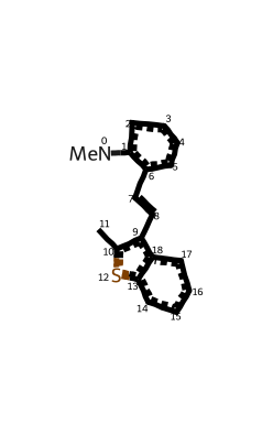 CNc1ccccc1/C=C/c1c(C)sc2ccccc12